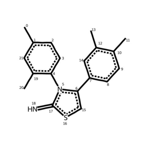 Cc1ccc(-n2c(-c3ccc(C)c(C)c3)csc2=N)c(C)c1